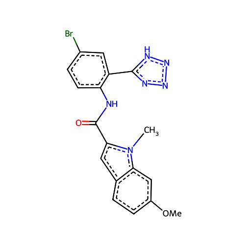 COc1ccc2cc(C(=O)Nc3ccc(Br)cc3-c3nnn[nH]3)n(C)c2c1